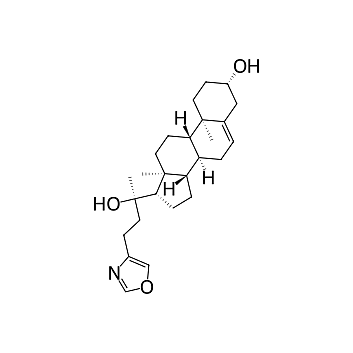 C[C@]12CC[C@H]3[C@@H](CC=C4C[C@@H](O)CC[C@@]43C)[C@@H]1CC[C@@H]2[C@](C)(O)CCc1cocn1